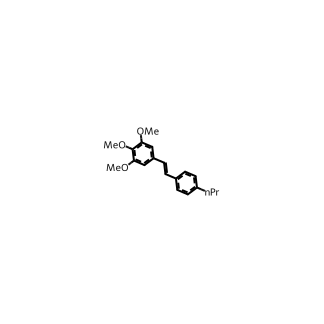 CCCc1ccc(C=Cc2cc(OC)c(OC)c(OC)c2)cc1